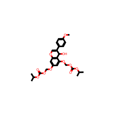 COc1ccc(C2=COc3cc(OCOC(=O)OC(C)C)cc(OCOC(=O)OC(C)C)c3C2O)cc1